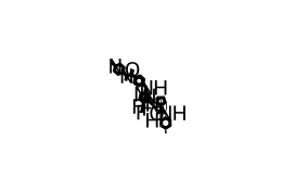 CN1CCC(N(C)C(=O)c2ccc(Nc3ncc(C(F)(F)F)c(N[C@@H]4CCC[C@@H]4C(=O)N[C@H]4CC[C@H](C)CC4)n3)cc2)CC1